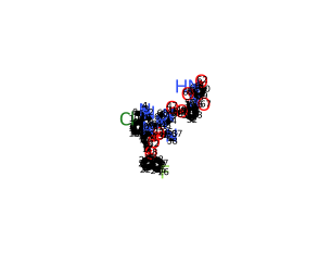 Cc1nn(C)c(C)c1-c1c(Cl)ccc2c(CCCOc3cccc4cc(F)ccc34)c(C(=O)OCCN(C)C)n(CCN3CCN(C(=O)COc4cccc5c4CN(C4CCC(=O)NC4=O)C5=O)CC3)c12